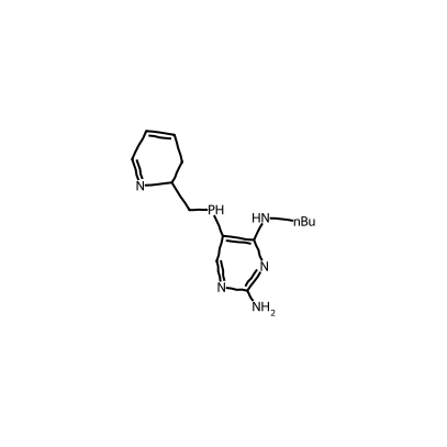 CCCCNc1nc(N)ncc1PCC1CC=CC=N1